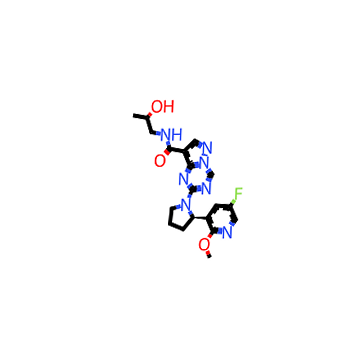 COc1ncc(F)cc1[C@H]1CCCN1c1ncn2ncc(C(=O)NCC(C)O)c2n1